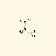 CN(CCP(C(C)(C)C)C(C)(C)C)CCP(C(C)(C)C)C(C)(C)C